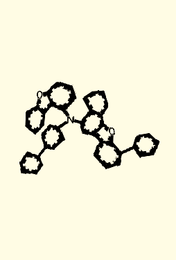 c1ccc(-c2ccc(N(c3cc4c5cccc(-c6ccccc6)c5oc4c4ccccc34)c3cccc4oc5ccccc5c34)cc2)cc1